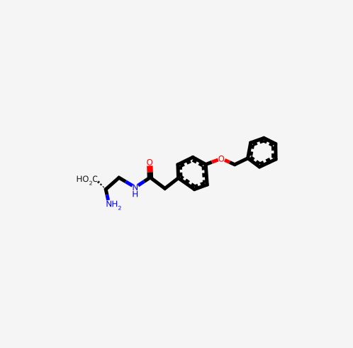 N[C@@H](CNC(=O)Cc1ccc(OCc2ccccc2)cc1)C(=O)O